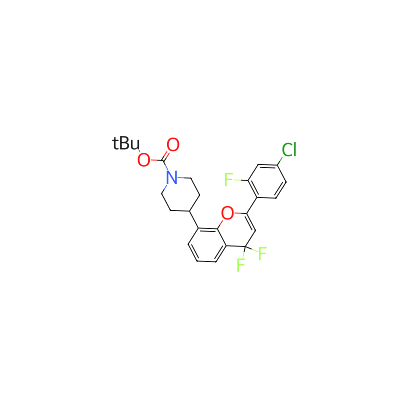 CC(C)(C)OC(=O)N1CCC(c2cccc3c2OC(c2ccc(Cl)cc2F)=CC3(F)F)CC1